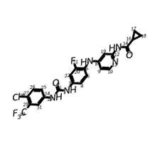 O=C(Nc1ccc(Nc2ccnc(NC(=O)C3CC3)c2)c(F)c1)Nc1ccc(Cl)c(C(F)(F)F)c1